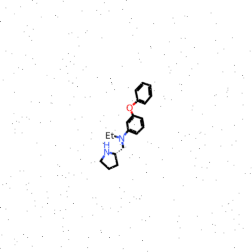 CCN(C[C@@H]1CCCN1)c1cccc(Oc2ccccc2)c1